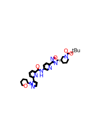 CC(C)(C)OC(=O)N1CCC[C@H](c2nc(-c3ccc(NC(=O)c4cccc(-c5ccnn5C5CCCCO5)n4)cn3)no2)C1